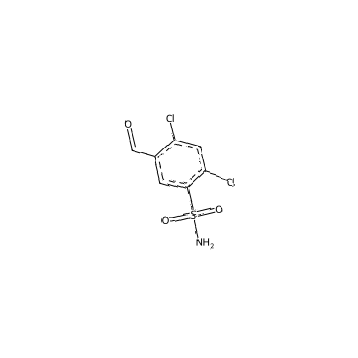 NS(=O)(=O)c1cc(C=O)c(Cl)cc1Cl